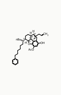 C=CCN1CC[C@]23c4c5c(O)cc(OC(C)=O)c4O[C@H]2[C@@H](N(CCCC)CCCCCCc2ccccc2)CC[C@H]3[C@H]1C5